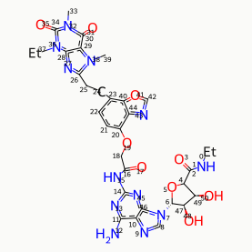 CCNC(=O)C1O[C@@H](n2cnc3c(N)nc(NC(=O)COc4ccc(CCc5nc6c(c(=O)n(C)c(=O)n6CC)n5C)c5ocnc45)nc32)[C@H](O)[C@@H]1O